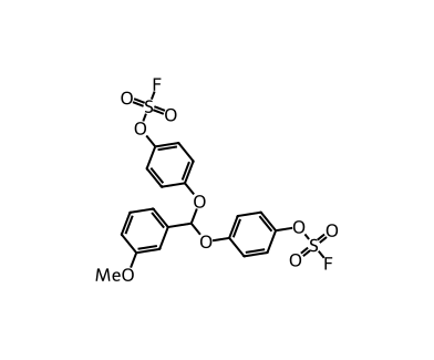 COc1cccc(C(Oc2ccc(OS(=O)(=O)F)cc2)Oc2ccc(OS(=O)(=O)F)cc2)c1